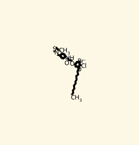 CCCCCCCCCCCCOc1cc(OCC(=O)Nc2ccc(C[n+]3cscc3C)cc2)ccc1Cl.[Br-]